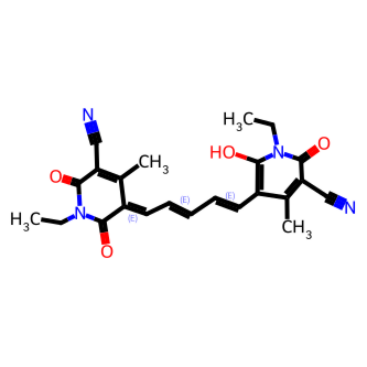 CCN1C(=O)C(C#N)=C(C)\C(=C/C=C/C=C/c2c(C)c(C#N)c(=O)n(CC)c2O)C1=O